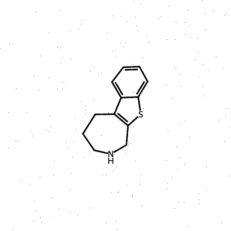 c1ccc2c3c(sc2c1)CNCCC3